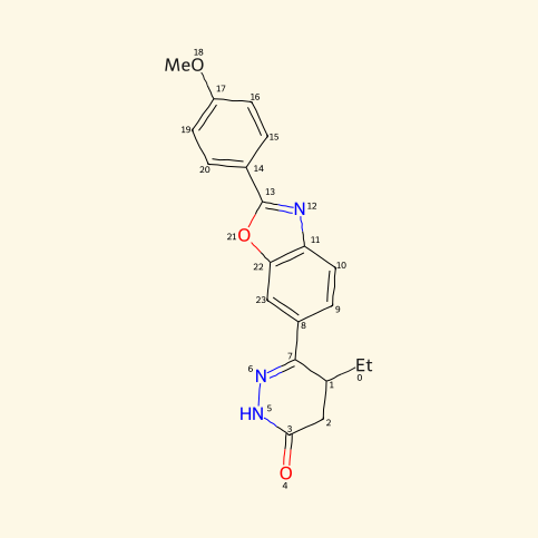 CCC1CC(=O)NN=C1c1ccc2nc(-c3ccc(OC)cc3)oc2c1